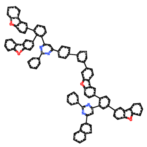 c1ccc(-c2nc(-c3ccc4ccccc4c3)cc(-c3cc(-c4ccc5oc6ccccc6c5c4)ccc3-c3ccc4oc5cc(-c6cccc(-c7ccc(-c8cc(-c9cccc(-c%10ccc%11oc%12ccccc%12c%11c%10)c9-c9ccc%10oc%11ccccc%11c%10c9)nc(-c9ccccc9)n8)cc7)c6)ccc5c4c3)n2)cc1